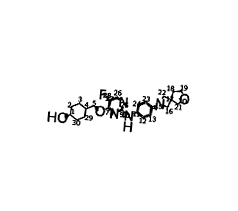 OC1CCC(COc2nc(Nc3ccc(N4CC5(CCOC5)C4)cc3)ncc2F)CC1